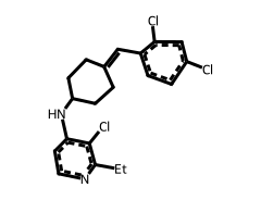 CCc1nccc(NC2CCC(=Cc3ccc(Cl)cc3Cl)CC2)c1Cl